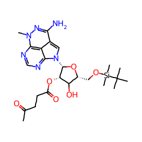 CC(=O)CCC(=O)O[C@H]1C(O)[C@@H](CO[Si](C)(C)C(C)(C)C)O[C@H]1n1cc2c3c(ncnc31)N(C)N=C2N